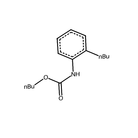 CCCCOC(=O)Nc1ccccc1CCCC